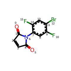 O=C1C=CC(=O)N1c1cc(F)c(Br)cc1F